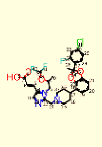 CC(Cn1c(/C=C/C(=O)O)cnc1CN1CCC(c2cccc3c2OC(C)(c2ccc(Cl)cc2F)O3)CC1)OC(F)F